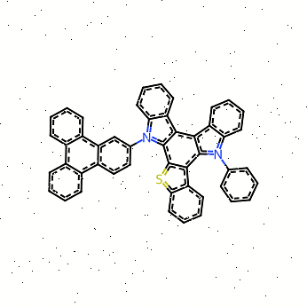 c1ccc(-n2c3ccccc3c3c4c5ccccc5n(-c5ccc6c7ccccc7c7ccccc7c6c5)c4c4sc5ccccc5c4c32)cc1